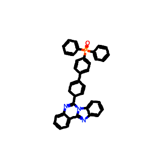 O=P(c1ccccc1)(c1ccccc1)c1ccc(C2=CCC(c3nc4ccccc4c4nc5ccccc5n34)C=C2)cc1